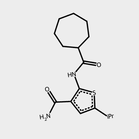 CC(C)c1cc(C(N)=O)c(NC(=O)C2CCCCCC2)s1